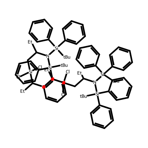 CCC(C[Si](Cl)(Cl)C(CC)OC(CC)[Si](Cl)(Cl)CC(CC)N([Si](c1ccccc1)(c1ccccc1)C(C)(C)C)[Si](c1ccccc1)(c1ccccc1)C(C)(C)C)N([Si](c1ccccc1)(c1ccccc1)C(C)(C)C)[Si](c1ccccc1)(c1ccccc1)C(C)(C)C